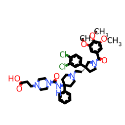 COc1cc(C(=O)N2CC[C@@](CCN3CCC(NC(=O)N4CCN(CCC(=O)O)CC4)(c4ccccc4)CC3)(c3ccc(Cl)c(Cl)c3)C2)cc(OC)c1OC